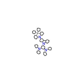 c1ccc(N(c2ccccc2)c2cc(N(c3ccccc3)c3ccccc3)cc(-n3c4ccccc4c4cc(N5c6ccccc6C(c6ccccc6)(c6ccccc6)c6ccccc65)ccc43)c2)cc1